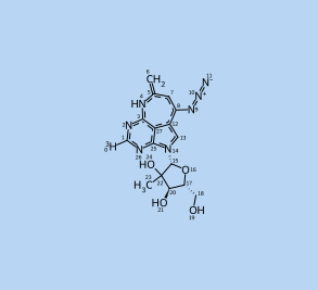 [3H]c1nc2[nH]c(=C)cc(N=[N+]=[N-])c3cn([C@@H]4O[C@H](CO)[C@@H](O)C4(C)O)c(n1)c23